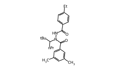 CCCC(N(NC(=O)c1ccc(CC)cc1)C(=O)c1cc(C)cc(C)c1)C(C)(C)C